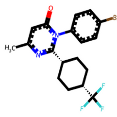 Cc1cc(=O)n(-c2ccc(Br)cc2)c([C@H]2CC[C@@H](C(F)(F)F)CC2)n1